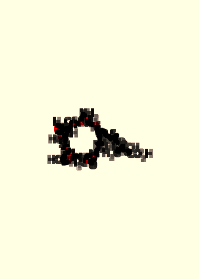 C=C(NC(=O)C(=C)NC(=O)c1csc(-c2ccc3c(n2)-c2csc(n2)-c2csc(n2)C(C(C)C2CO2)NC(=O)C(Cc2ccc(O)cc2)NC(=O)c2csc(n2)C(C(O)c2ccccc2)NC(=O)c2nc(sc2C)C(CC(N)=O)NC(=O)c2csc-3n2)n1)C(=O)O